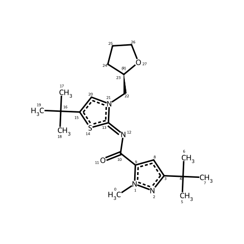 Cn1nc(C(C)(C)C)cc1C(=O)N=c1sc(C(C)(C)C)cn1C[C@H]1CCCO1